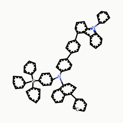 c1ccc(-c2ccc(N(c3ccc(-c4ccc(-c5cccc6c5c5ccccc5n6-c5ccccc5)cc4)cc3)c3ccc([Si](c4ccccc4)(c4ccccc4)c4ccccc4)cc3)c3ccccc23)cc1